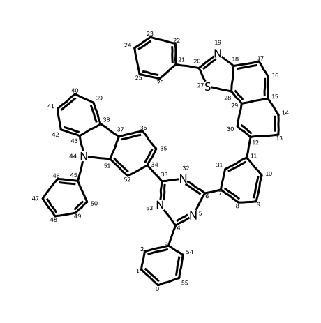 c1ccc(-c2nc(-c3cccc(-c4ccc5ccc6nc(-c7ccccc7)sc6c5c4)c3)nc(-c3ccc4c5ccccc5n(-c5ccccc5)c4c3)n2)cc1